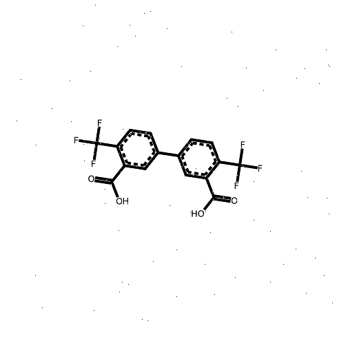 O=C(O)c1cc(-c2ccc(C(F)(F)F)c(C(=O)O)c2)ccc1C(F)(F)F